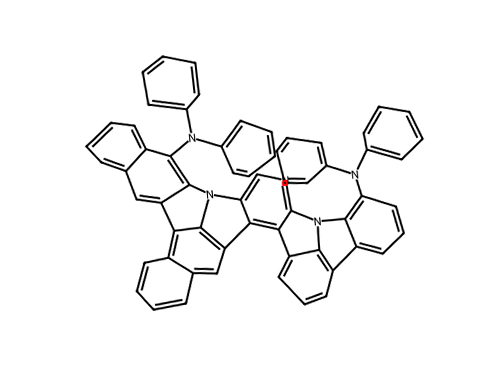 c1ccc(N(c2ccccc2)c2c3ccccc3cc3c4c5ccccc5cc5c6c7c8cccc9c%10cccc(N(c%11ccccc%11)c%11ccccc%11)c%10n(c7ncc6n(c23)c54)c98)cc1